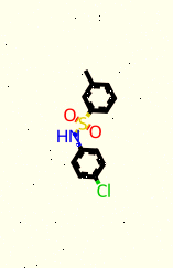 Cc1cccc(S(=O)(=O)Nc2ccc(Cl)cc2)c1